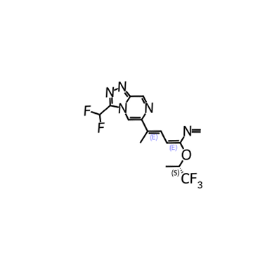 C=N/C(=C\C=C(/C)c1cn2c(C(F)F)nnc2cn1)O[C@@H](C)C(F)(F)F